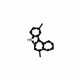 Cc1ccc2[nH]c3cc(C)c4ccccc4c3c2c1